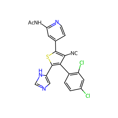 [C-]#[N+]c1c(-c2ccnc(NC(C)=O)c2)sc(-c2cnc[nH]2)c1-c1ccc(Cl)cc1Cl